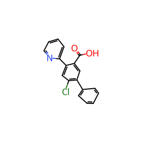 O=C(O)c1cc(-c2ccccc2)c(Cl)cc1-c1ccccn1